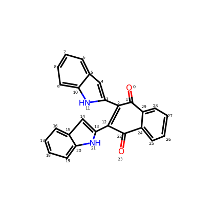 O=C1C(c2cc3ccccc3[nH]2)=C(c2cc3ccccc3[nH]2)C(=O)c2ccccc21